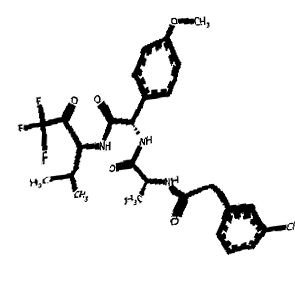 COc1ccc([C@H](NC(=O)[C@H](C)NC(=O)Cc2cccc(Cl)c2)C(=O)N[C@H](C(=O)C(F)(F)F)C(C)C)cc1